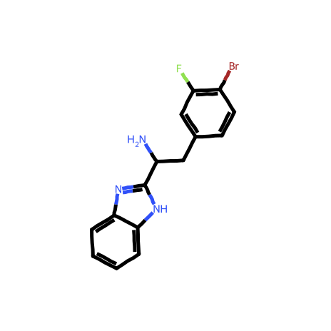 NC(Cc1ccc(Br)c(F)c1)c1nc2ccccc2[nH]1